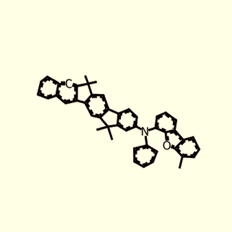 Cc1cccc2c1oc1c(N(c3ccccc3)c3ccc4c(c3)C(C)(C)c3cc5c(cc3-4)C(C)(C)c3cc4ccccc4cc3-5)cccc12